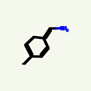 [CH2]C1=CCC(=CN)C=C1